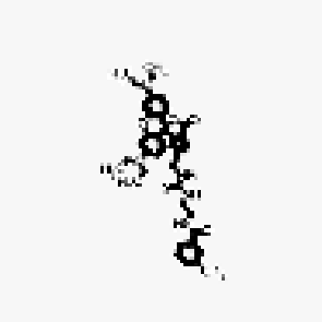 CCN(CC)c1ccc2c(c1)Oc1cc(N(CC)CC)ccc1C21OC(=O)c2ccc(CNC(=S)NCCNC(=O)c3cccc(C)c3)cc21